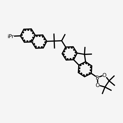 CC(C)c1ccc2cc(C(C)(C)C(C)c3ccc4c(c3)C(C)(C)c3cc(B5OC(C)(C)C(C)(C)O5)ccc3-4)ccc2c1